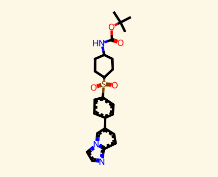 CC(C)(C)OC(=O)NC1CCC(S(=O)(=O)c2ccc(-c3ccc4nccn4c3)cc2)CC1